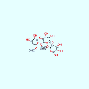 O=COC1=C[C@H](O)C(O)[C@H](O[C@@H]2C(OC=O)O[C@@H](O[C@@H]3C(OC=O)O[C@@H](O)C(O)[C@H]3O)C(O)C2O)O1